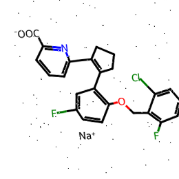 O=C([O-])c1cccc(C2=C(c3cc(F)ccc3OCc3c(F)cccc3Cl)CCC2)n1.[Na+]